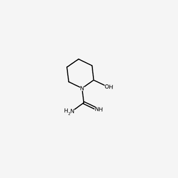 N=C(N)N1CCCCC1O